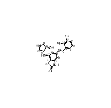 O=c1[nH]c2nc(SCc3cccc(F)c3F)nc(N[C@@H]3CNC[C@H]3O)c2s1